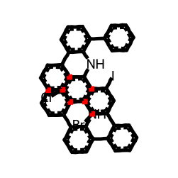 Clc1cc(Nc2c(-c3ccccc3)cccc2-c2ccccc2)cc(Nc2c(-c3ccccc3)cccc2-c2ccccc2-c2cc(I)ccc2Br)c1